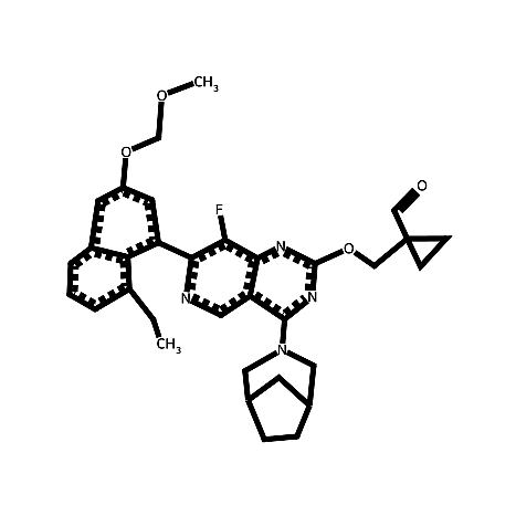 CCc1cccc2cc(OCOC)cc(-c3ncc4c(N5CC6CCC(C6)C5)nc(OCC5(C=O)CC5)nc4c3F)c12